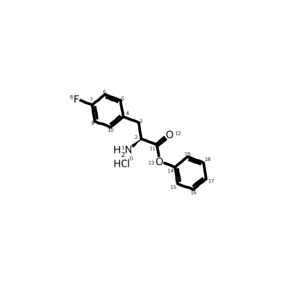 Cl.N[C@@H](Cc1ccc(F)cc1)C(=O)Oc1ccccc1